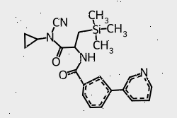 C[Si](C)(C)CC(NC(=O)c1cccc(-c2cccnc2)c1)C(=O)N(C#N)C1CC1